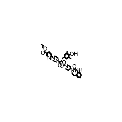 CCCOC(=O)c1ccc(N2CCN(C(=O)[C@@H](Cc3cc(C)c(O)c(C)c3)OC(=O)N3CCC(N4CCc5ccccc5NC4=O)CC3)CC2)nc1